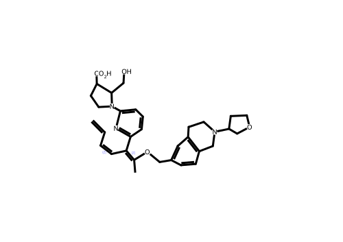 C=C/C=C\C(=C(/C)OCc1ccc2c(c1)CCN(C1CCOC1)C2)c1cccc(N2CCC(C(=O)O)C2CO)n1